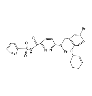 CCN(Cc1cc(Br)ccc1OC1C=CCCC1)c1ccc(C(=O)NS(=O)(=O)c2ccccc2)nn1